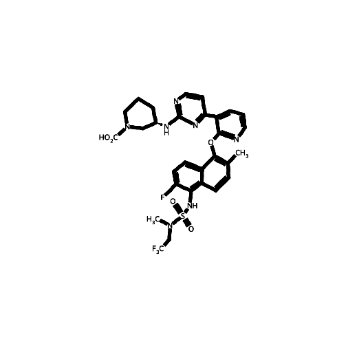 Cc1ccc2c(NS(=O)(=O)N(C)CC(F)(F)F)c(F)ccc2c1Oc1ncccc1-c1ccnc(N[C@H]2CCCN(C(=O)O)C2)n1